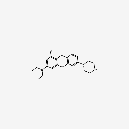 CCN(CC)c1cc(Cl)c2c(c1)Sc1cc(N3CCNCC3)ccc1N2